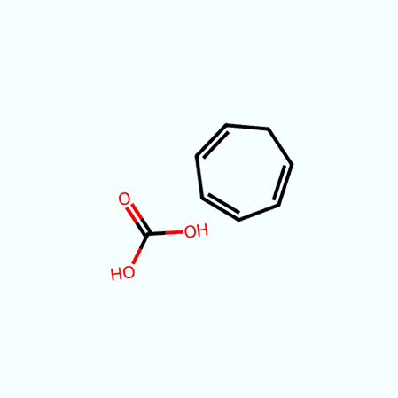 C1=CC=CCC=C1.O=C(O)O